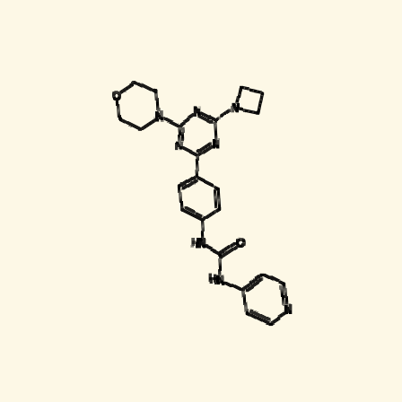 O=C(Nc1ccncc1)Nc1ccc(-c2nc(N3CCC3)nc(N3CCOCC3)n2)cc1